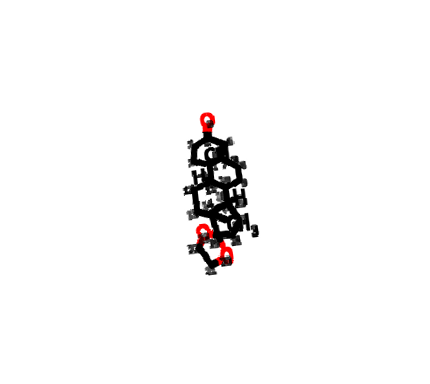 CC12CCC(=O)C=C1CCC1[C@@H]2CCC2(C)[C@H]1CCC21OCCO1